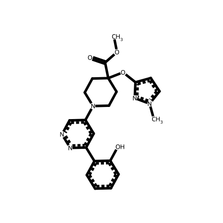 COC(=O)C1(Oc2ccn(C)n2)CCN(c2cnnc(-c3ccccc3O)c2)CC1